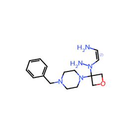 N/C=C\N(N)C1(N2CCN(Cc3ccccc3)CC2)COC1